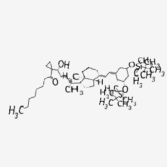 CCCCCCCC(=O)C1([C@H](O)/C=C/[C@@H](C)[C@H]2CC[C@H]3/C(=C/C=C4C[C@@H](O[Si](C)(C)C(C)(C)C)C[C@H](O[Si](C)(C)C(C)(C)C)C4)CCC[C@]23C)CC1